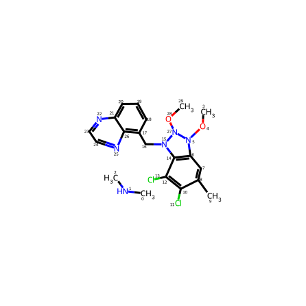 CNC.CON1c2cc(C)c(Cl)c(Cl)c2N(Cc2cccc3nccnc23)N1OC